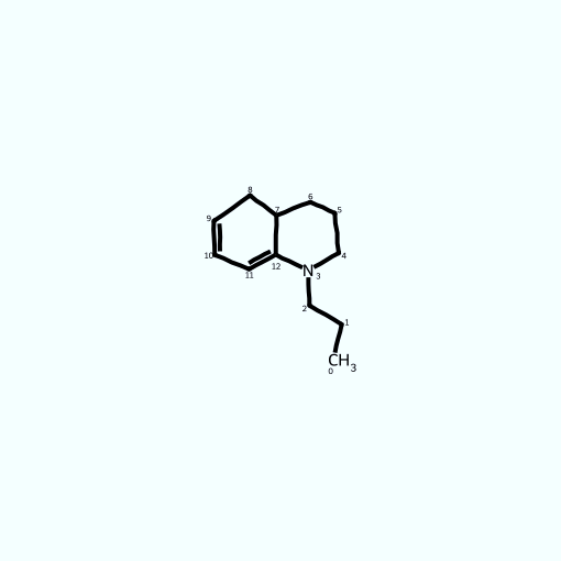 CCCN1CCCC2CC=CC=C21